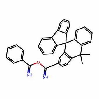 CC1(C)c2ccccc2C2(c3ccccc3-c3ccccc32)c2cc(C(=N)OC(=N)c3ccccc3)ccc21